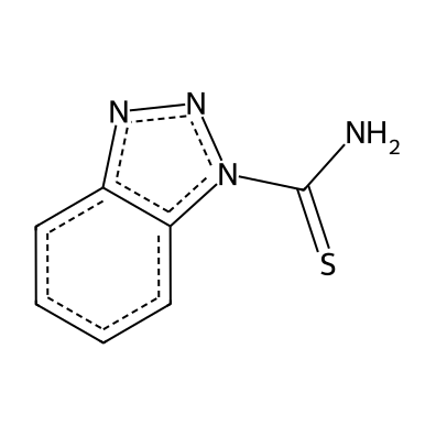 NC(=S)n1nnc2ccccc21